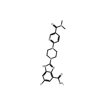 CN(C)C(=O)c1ccc(N2CCN(c3nc4c(C(N)=O)cc(F)cc4[nH]3)CC2)nc1